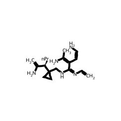 C=C/N=C(/NCC1([C@H](CCC)C(=C)N)CC1)C(/C=C\N)=C(C)N